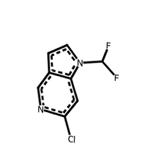 FC(F)n1ccc2cnc(Cl)cc21